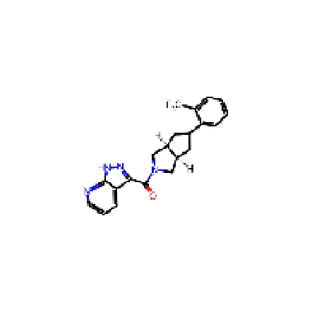 O=C(c1n[nH]c2ncccc12)N1C[C@H]2CC(c3ccccc3C(F)(F)F)C[C@H]2C1